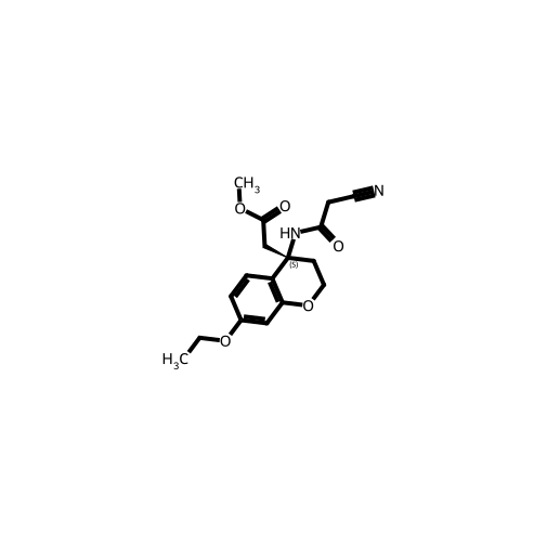 CCOc1ccc2c(c1)OCC[C@@]2(CC(=O)OC)NC(=O)CC#N